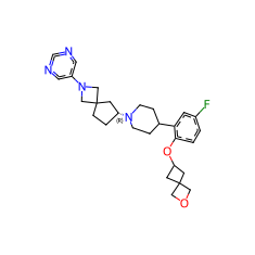 Fc1ccc(OC2CC3(COC3)C2)c(C2CCN([C@@H]3CCC4(C3)CN(c3cncnc3)C4)CC2)c1